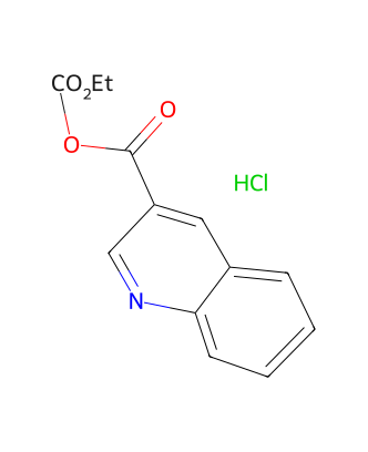 CCOC(=O)OC(=O)c1cnc2ccccc2c1.Cl